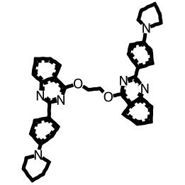 c1ccc2c(OCCOc3nc(-c4ccc(N5CCCCC5)cc4)nc4ccccc34)nc(-c3ccc(N4CCCCC4)cc3)nc2c1